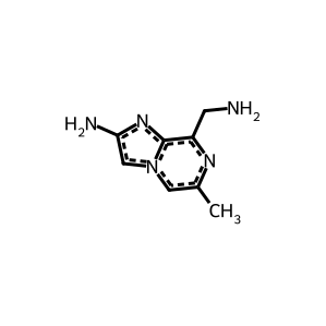 Cc1cn2cc(N)nc2c(CN)n1